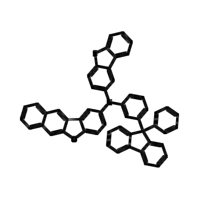 c1ccc(C2(c3cccc(N(c4ccc5oc6cc7ccccc7cc6c5c4)c4ccc5sc6ccccc6c5c4)c3)c3ccccc3-c3ccccc32)cc1